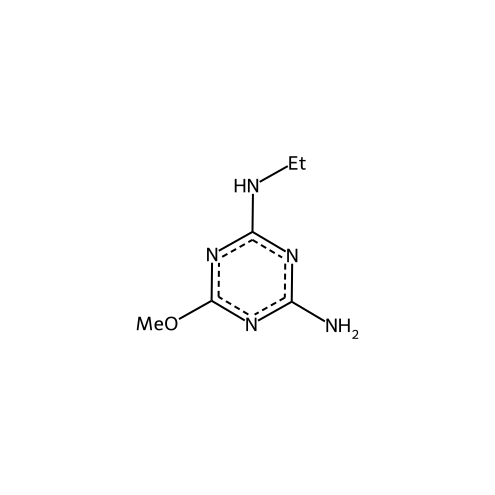 CCNc1nc(N)nc(OC)n1